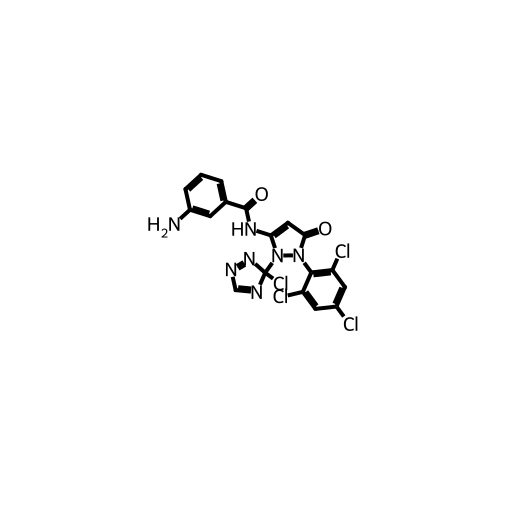 Nc1cccc(C(=O)Nc2cc(=O)n(-c3c(Cl)cc(Cl)cc3Cl)n2C2(Cl)N=CN=N2)c1